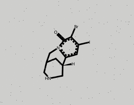 O=c1c(Br)c(I)cc2n1CC1CNC[C@@H]2C1